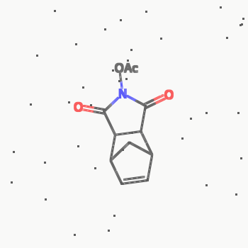 CC(=O)ON1C(=O)C2C3C=CC(C3)C2C1=O